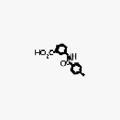 Cc1ccc([S+]([O-])Nc2cccc(C(=O)O)c2)cc1